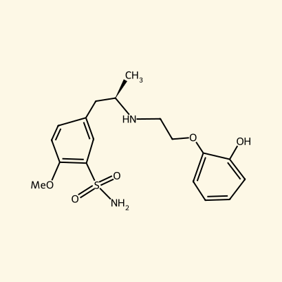 COc1ccc(C[C@@H](C)NCCOc2ccccc2O)cc1S(N)(=O)=O